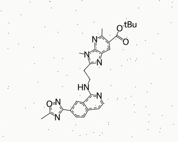 Cc1nc(-c2ccc3ccnc(NCCc4nc5cc(C(=O)OC(C)(C)C)c(C)nc5n4C)c3c2)no1